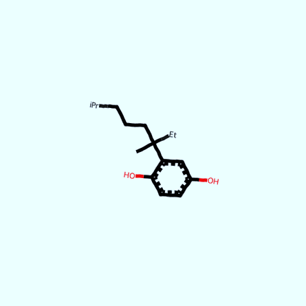 CCC(C)(CCCC(C)C)c1cc(O)ccc1O